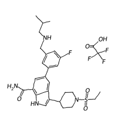 CCS(=O)(=O)N1CCC(c2c[nH]c3c(C(N)=O)cc(-c4cc(F)cc(CNCC(C)C)c4)cc23)CC1.O=C(O)C(F)(F)F